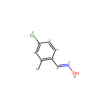 Cc1cc(Cl)ccc1/C=N/O